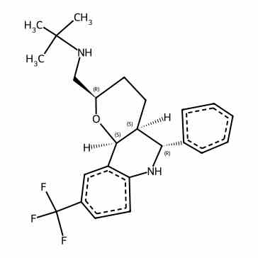 CC(C)(C)NC[C@H]1CC[C@@H]2[C@H](O1)c1cc(C(F)(F)F)ccc1N[C@H]2c1ccccc1